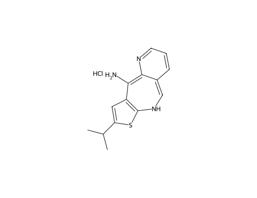 CC(C)c1cc2c(s1)NC=c1cccnc1=C2N.Cl